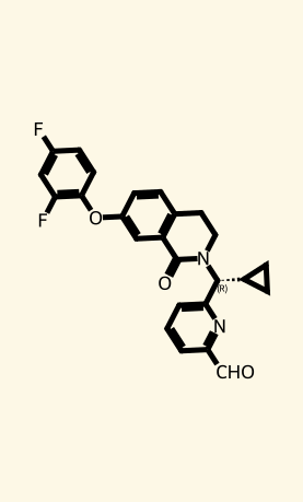 O=Cc1cccc([C@@H](C2CC2)N2CCc3ccc(Oc4ccc(F)cc4F)cc3C2=O)n1